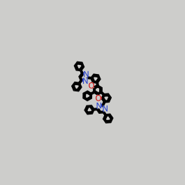 c1ccc(-c2cc(-c3ccccc3)nc(-c3cccc4c3oc3c(-c5ccccc5)c5oc6c(-c7nc(-c8ccccc8)cc(-c8ccccc8)n7)cccc6c5cc34)n2)cc1